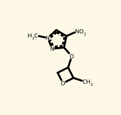 CC1OCC1Oc1nn(C)cc1[N+](=O)[O-]